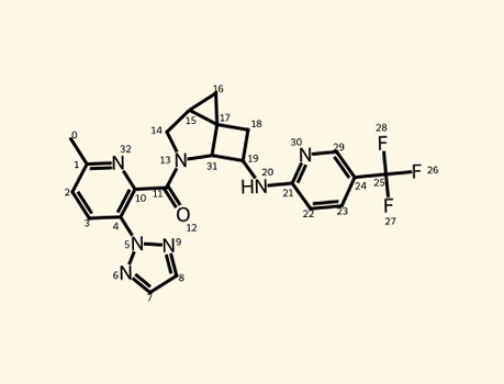 Cc1ccc(-n2nccn2)c(C(=O)N2CC3CC34CC(Nc3ccc(C(F)(F)F)cn3)C24)n1